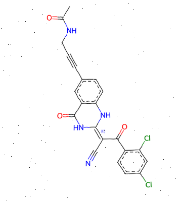 CC(=O)NCC#Cc1ccc2c(c1)C(=O)N/C(=C(\C#N)C(=O)c1ccc(Cl)cc1Cl)N2